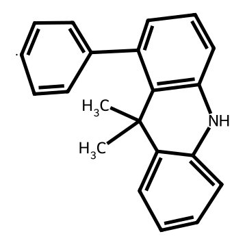 CC1(C)c2ccccc2Nc2cccc(-c3cc[c]cc3)c21